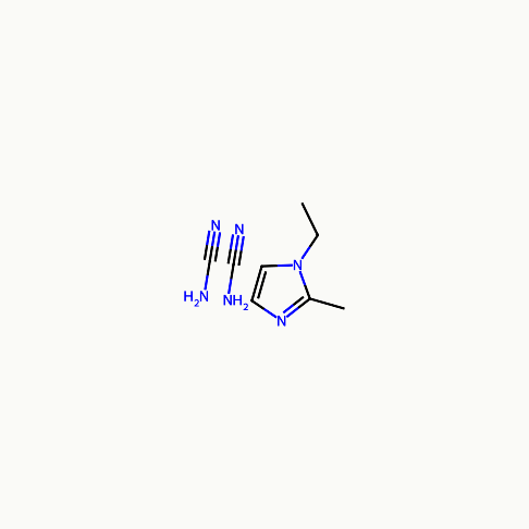 CCn1ccnc1C.N#CN.N#CN